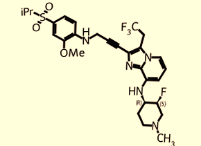 COc1cc(S(=O)(=O)C(C)C)ccc1NCC#Cc1nc2c(N[C@@H]3CCN(C)C[C@@H]3F)cccn2c1CC(F)(F)F